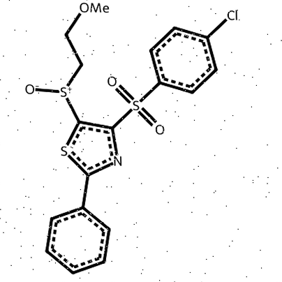 COCC[S+]([O-])c1sc(-c2ccccc2)nc1S(=O)(=O)c1ccc(Cl)cc1